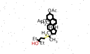 CCC(O)(CC)CCSC(C)[C@H]1CC[C@H]2C3=CC=C4CC(OC(C)=O)CC(OC(C)=O)[C@]4(C)[C@H]3CC[C@]12C